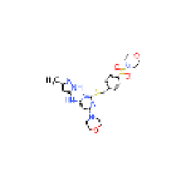 Cc1cc(Nc2cc(N3CCOCC3)nc(SCc3ccc(S(=O)(=O)N4CCOCC4)cc3)n2)[nH]n1